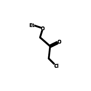 CCOCC(=O)CCl